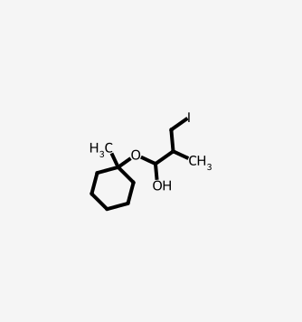 CC(CI)C(O)OC1(C)CCCCC1